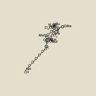 C#CCNCCOCCCOCCCOCCCOCCCOCCOc1ccc(C2=CN3C(=O)c4cc(OC)c(OCCCOc5cc6c(cc5OC)C(=O)N5C=C(c7ccc(OC)cc7)CC5C(O[Si](C)(C)C(C)(C)C)N6C(=O)OCC(Cl)(Cl)Cl)cc4N(C(=O)OCC(Cl)(Cl)Cl)C(O[Si](C)(C)C(C)(C)C)C3C2)cn1